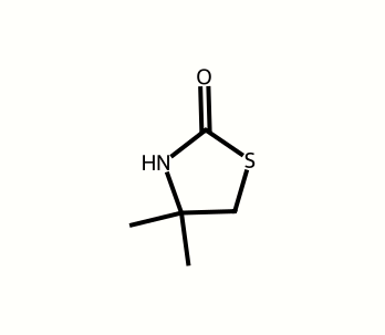 CC1(C)CSC(=O)N1